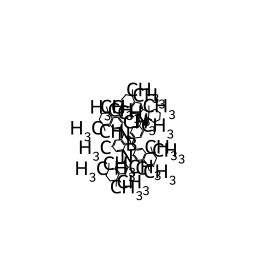 Cc1cc2c3c(c1)N(c1cc4c(cc1C)C(C)(C)CCC4(C)C)c1cc4c(cc1B3c1ccc(N3c5cc6c(cc5C5(C)CCCCC35C)C(C)(C)CCC6(C)C)cc1N2c1cc2c(cc1C)C(C)(C)CCC2(C)C)C(C)(C)CCC4(C)C